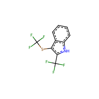 FC(F)(F)Sc1c(C(F)(F)F)[nH]c2ccccc12